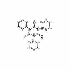 O=c1n(-c2ccccc2)c(=O)n(-c2ccccc2)c(=O)n1-c1ccccc1